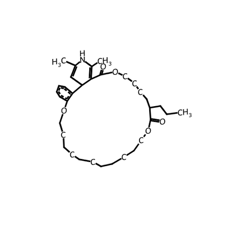 CCCC1CCCCOC(=O)C2=C(C)NC(C)=CC2c2ccccc2OCCCCCCCCCCCOC1=O